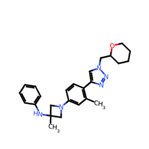 Cc1cc(N2CC(C)(Nc3ccccc3)C2)ccc1-c1cn(CC2CCCCO2)nn1